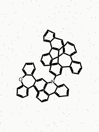 c1ccc(-c2ccccc2N(c2ccc3c(c2)-c2ccccc2Oc2ccccc2-3)c2ccc3c(c2)-c2ccccc2-c2ccccc2C32c3ccccc3-c3c2ccc2ccccc32)cc1